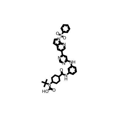 CC(C)(C)N(C(=O)O)C1CCC(C(=O)Nc2cccc(Nc3cc(-c4cnc5c(ccn5S(=O)(=O)c5ccccc5)c4)ncn3)c2)CC1